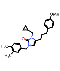 COc1ccc(CCCc2cn(Cc3ccc(C)c(C)c3)c(=O)n2CC2CC2)cc1